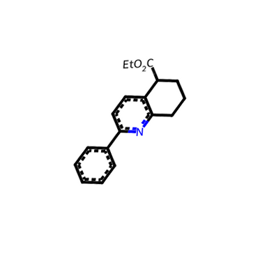 CCOC(=O)C1CCCc2nc(-c3ccccc3)ccc21